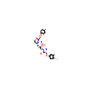 C=CC(C[C@H](O)CNC(=O)COc1ccc(Cl)c(F)c1)NC(=O)COc1ccc(F)cc1